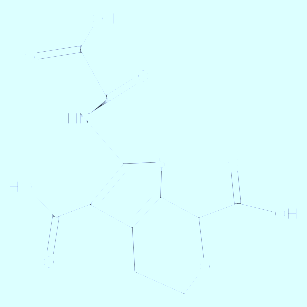 O=C(O)C(=O)Nc1sc2c(c1C(=O)O)CCOC2C(=O)O